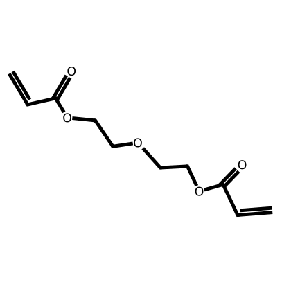 C=CC(=O)OCCOCCOC(=O)C=C